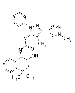 Cc1c(-c2cnn(C)c2)nn(-c2ccccc2)c1NC(=O)N[C@@H]1c2ccccc2C(C)(C)C[C@H]1O